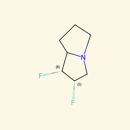 F[C@@H]1C2CCCN2C[C@@H]1F